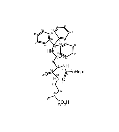 CCCCCCCC(=O)N[C@H](CC(=O)NC(c1ccccc1)(c1ccccc1)c1ccccc1)C(=O)NCCN(C)C(=O)O